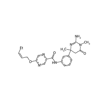 CC/C=C\COc1cnc(C(=O)Nc2cccc(C3(C)CC(=O)N(C)C(N)=N3)c2)cn1